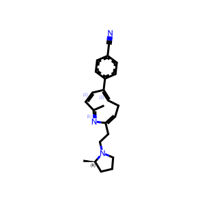 CC1=N\C(CCN2CCC[C@H]2C)=CC/C=C(c2ccc(C#N)cc2)/C=C\1